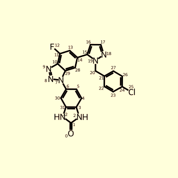 O=c1[nH]c2ccc(-n3nnc4c(F)cc(-c5ccnn5Cc5ccc(Cl)cc5)cc43)cc2[nH]1